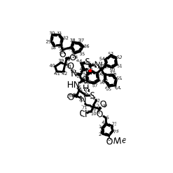 COc1ccc(COC(=O)C2(CCl)CS[C@@H]3C(NC(=O)C(=NOC4(C(=O)OC(c5ccccc5)c5ccccc5)CCCC4)c4csc(NC(c5ccccc5)(c5ccccc5)c5ccccc5)n4)C(=O)N3C2)cc1